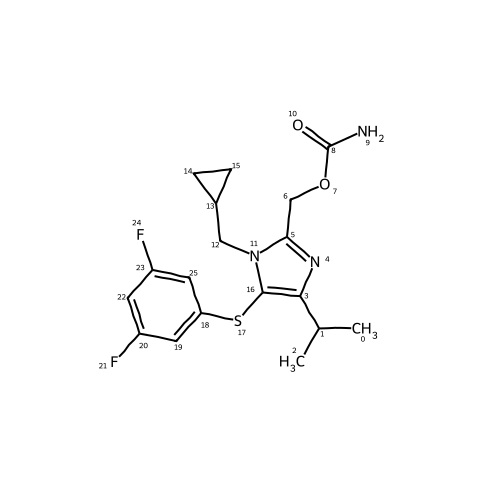 CC(C)c1nc(COC(N)=O)n(CC2CC2)c1Sc1cc(F)cc(F)c1